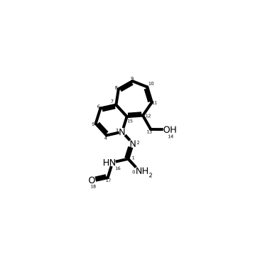 NC(=NN1C=CC=C2C=CC=CC(CO)=C21)NC=O